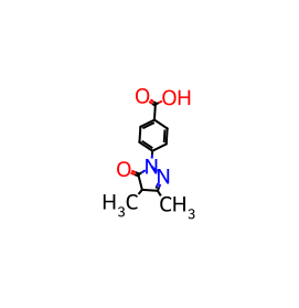 CC1=NN(c2ccc(C(=O)O)cc2)C(=O)C1C